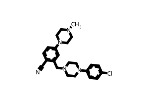 CN1CCN(c2ccc(C#N)c(CN3CCN(c4ccc(Cl)cc4)CC3)c2)CC1